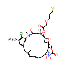 COc1cc2cc(c1Cl)N(C)C(=O)C[C@H](OC(=O)COCCCS)[C@@]1(C)CC(C)(O1)[C@@H]1C[C@](O)(C/C=C/C=C(\C)C2)NC(=O)O1